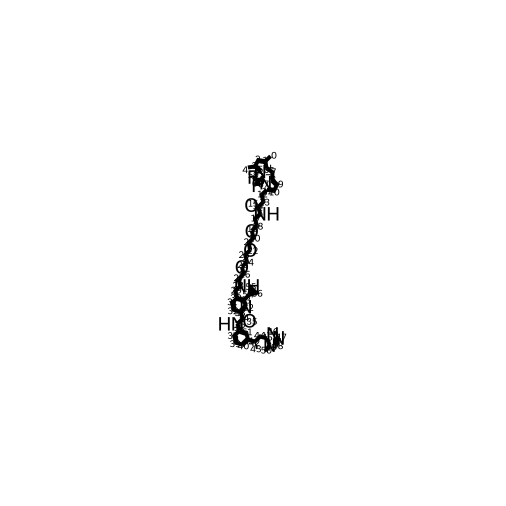 CC1=CC(C)=[N+]2C1Cc1ccc(CCC(=O)NCCOCCOCCOCCNCc3ccc(C(=O)Nc4cccc([C@H](C)Cc5nncn5C)c4)nc3C3CC3)n1[B-]2(F)F